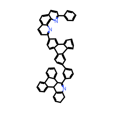 C1=CC2=C(CC1)N=C(c1cccc(-c3ccc4c5ccc(-c6ccc7ccc8ccc(-c9ccccc9)nc8c7n6)cc5c5ccccc5c4c3)c1)C1c3ccccc3-c3ccccc3C21